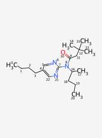 CCCCc1cnc(N(C(=O)CC(C)(C)C)C(C)CCC)nc1